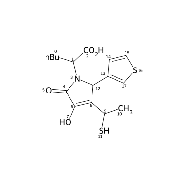 CCCCC(C(=O)O)N1C(=O)C(O)=C(C(C)S)C1c1ccsc1